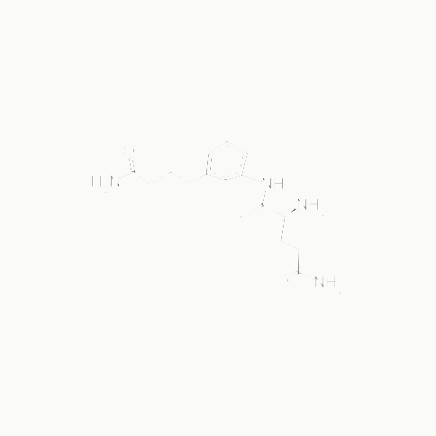 NC(=O)CCCc1cccc(NC(=O)[C@@H](N)CCC(N)=O)c1